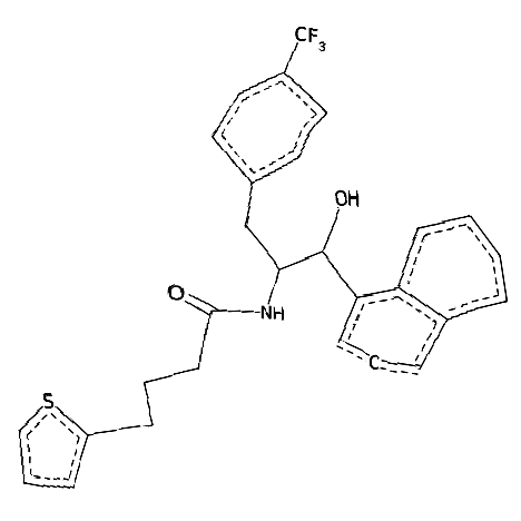 O=C(CCCc1cccs1)NC(Cc1ccc(C(F)(F)F)cc1)C(O)c1cccc2ccccc12